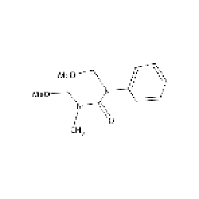 COCN(C)C(=O)N(COC)c1ccccc1